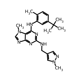 Cc1ccc(C(C)(C)C)cc1Nc1nc(NCc2cnn(C)c2)nc2ncn(C)c12